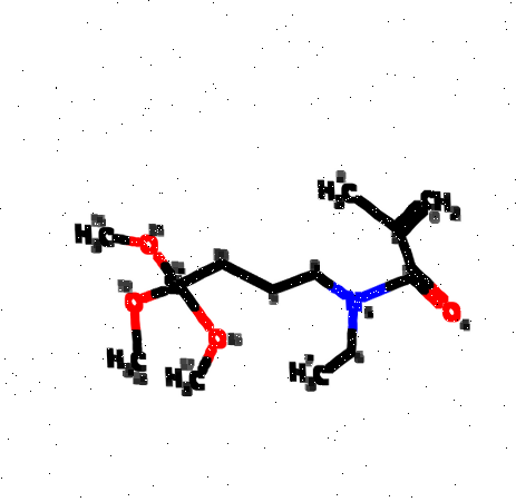 C=C(C)C(=O)N(CC)CCC[Si](OC)(OC)OC